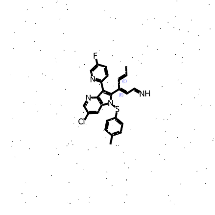 C/C=C/C(=C\C=N)c1c(-c2ccc(F)cn2)c2ncc(Cl)cc2n1Sc1ccc(C)cc1